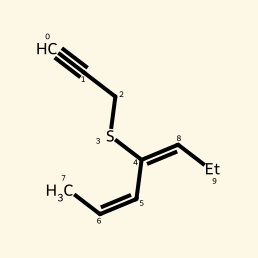 C#CCSC(/C=C\C)=C/CC